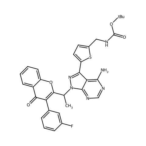 CC(c1oc2ccccc2c(=O)c1-c1cccc(F)c1)n1nc(-c2ccc(CNC(=O)OC(C)(C)C)s2)c2c(N)ncnc21